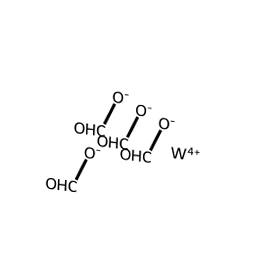 O=C[O-].O=C[O-].O=C[O-].O=C[O-].[W+4]